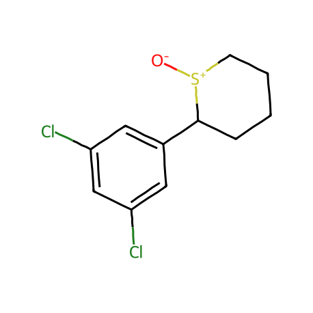 [O-][S+]1CCCCC1c1cc(Cl)cc(Cl)c1